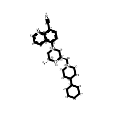 C[C@@H]1CN(c2ccc(C#N)c3ncccc23)C[C@@H](CN2CCC(C3CCCCC3)CC2)O1